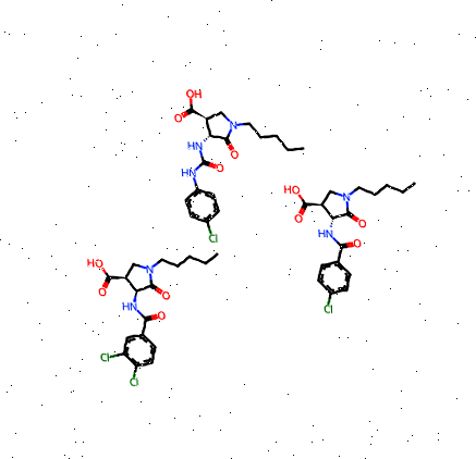 CCCCCN1C[C@H](C(=O)O)[C@@H](NC(=O)Nc2ccc(Cl)cc2)C1=O.CCCCCN1C[C@H](C(=O)O)[C@@H](NC(=O)c2ccc(Cl)cc2)C1=O.CCCCCN1C[C@H](C(=O)O)[C@H](NC(=O)c2ccc(Cl)c(Cl)c2)C1=O